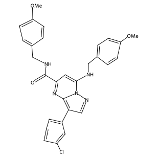 COc1ccc(CNC(=O)c2cc(NCc3ccc(OC)cc3)n3ncc(-c4cccc(Cl)c4)c3n2)cc1